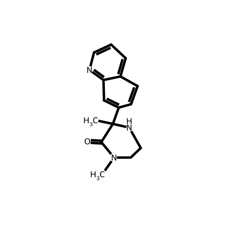 CN1CCNC(C)(c2ccc3cccnc3c2)C1=O